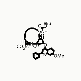 CCOC(=O)[C@@]12C[C@H]1/C=C\CCCCCN(NC(=O)OC(C)(C)C)C(=O)[C@@H]1C[C@H](Oc3cc(-c4ccccc4)nc4cc(OC)ccc34)C[C@H]1C(=O)N2